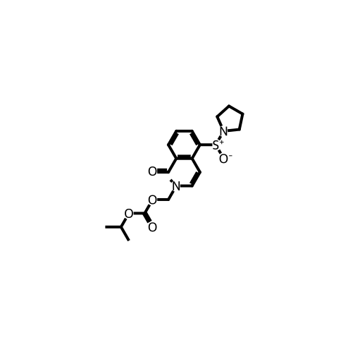 CC(C)OC(=O)OCN(C)/C=C\c1c(C=O)cccc1[S+]([O-])N1CCCC1